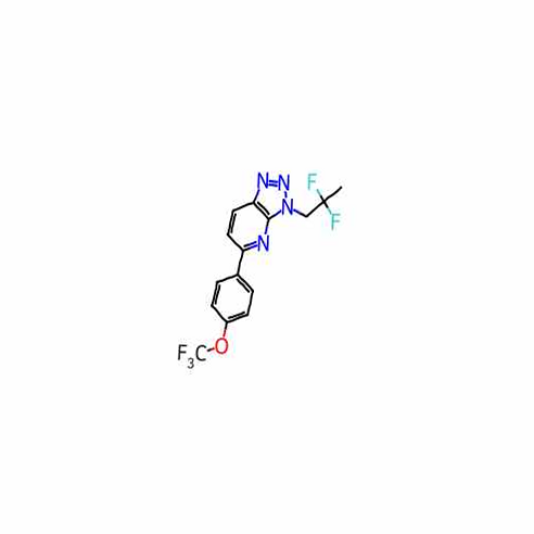 CC(F)(F)Cn1nnc2ccc(-c3ccc(OC(F)(F)F)cc3)nc21